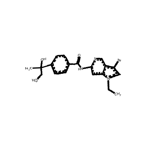 CCn1cc(Br)c2cnc(NC(=O)c3ccc(C(C)(O)CO)cc3)cc21